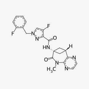 CN1c2nccnc2[C@H]2C[C@@](NC(=O)c3nn(Cc4ccccc4F)cc3F)(C2)C1=O